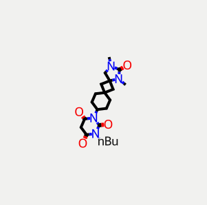 CCCCN1C(=O)CC(=O)N(C2CCC3(CC2)CC2(CN(C)C(=O)N2C)C3)C1=O